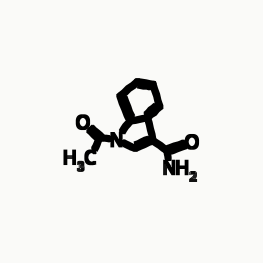 CC(=O)n1cc(C(N)=O)c2ccccc21